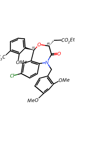 CCOC(=O)C[C@H]1O[C@H](c2cccc(C(F)(F)F)c2OC)c2cc(Cl)ccc2N(Cc2ccc(OC)cc2OC)C1=O